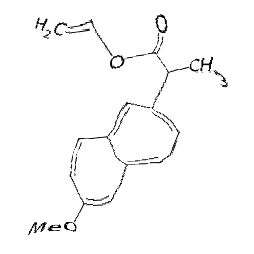 C=COC(=O)C(C)c1ccc2cc(OC)ccc2c1